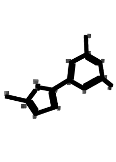 Cc1cc(C)cc(-c2ccc(C)s2)c1